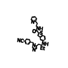 CCC(Cc1cncn1Cc1ccc(C#N)cc1)Nc1ccc2sc(C(=O)NCCc3ccccn3)cc2c1